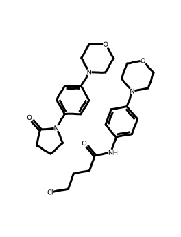 O=C(CCCCl)Nc1ccc(N2CCOCC2)cc1.O=C1CCCN1c1ccc(N2CCOCC2)cc1